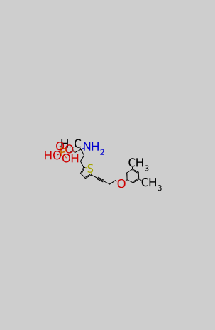 Cc1cc(C)cc(OCCC#Cc2ccc(CCC(C)(N)COP(=O)(O)O)s2)c1